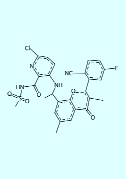 Cc1cc(C(C)Nc2ccc(Cl)nc2C(=O)NS(C)(=O)=O)c2oc(-c3cc(F)ccc3C#N)c(C)c(=O)c2c1